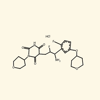 Cl.NC(c1cc(OC2CCOCC2)ccc1F)C(F)CC1C(=O)NC(=O)N(C2CCOCC2)C1=O